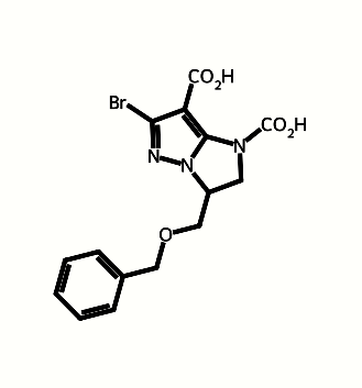 O=C(O)c1c(Br)nn2c1N(C(=O)O)CC2COCc1ccccc1